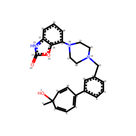 CC1(O)C=CC=C(c2cccc(CN3CCN(c4cccc5[nH]c(=O)oc45)CC3)c2)C=C1